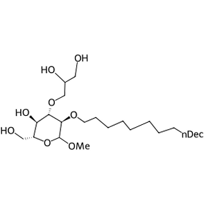 CCCCCCCCCCCCCCCCCCO[C@H]1C(OC)O[C@H](CO)[C@@H](O)[C@@H]1OCC(O)CO